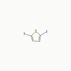 Ic1ccc(I)s1